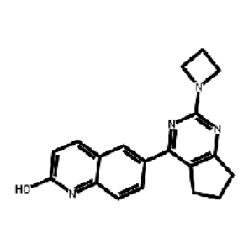 Oc1ccc2cc(-c3nc(N4CCC4)nc4c3CCC4)ccc2n1